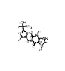 Cc1sc(C(C)(O)C(F)(F)F)nc1Cn1c(=O)c2c(n(C)c1=O)NCN2C